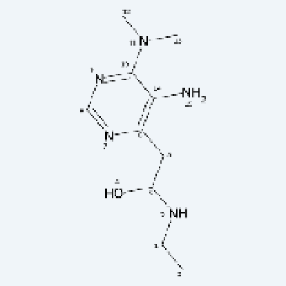 CCNC(O)Cc1ncnc(N(C)C)c1N